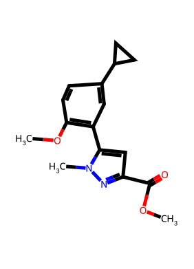 COC(=O)c1cc(-c2cc(C3CC3)ccc2OC)n(C)n1